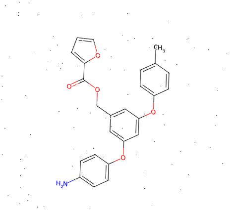 Cc1ccc(Oc2cc(COC(=O)c3ccco3)cc(Oc3ccc(N)cc3)c2)cc1